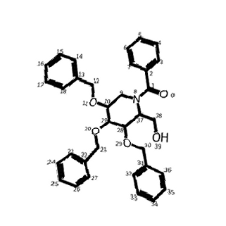 O=C(c1ccccc1)N1CC(OCc2ccccc2)C(OCc2ccccc2)C(OCc2ccccc2)C1CO